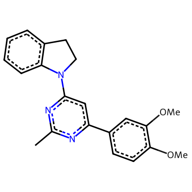 COc1ccc(-c2cc(N3CCc4ccccc43)nc(C)n2)cc1OC